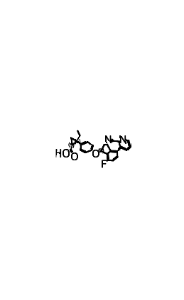 CC[C@]1(c2ccc(O[C@@H]3CCc4c(-c5cccnc5C#N)ccc(F)c43)cc2)C[C@@H]1C(=O)O